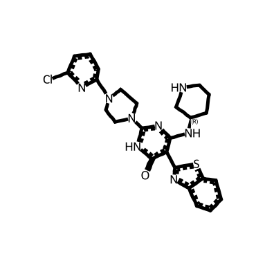 O=c1[nH]c(N2CCN(c3cccc(Cl)n3)CC2)nc(N[C@@H]2CCCNC2)c1-c1nc2ccccc2s1